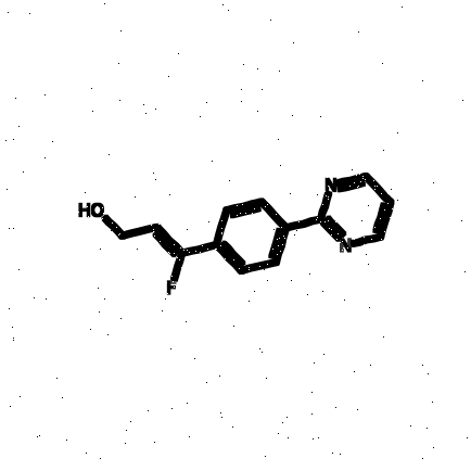 OC/C=C(\F)c1ccc(-c2ncccn2)cc1